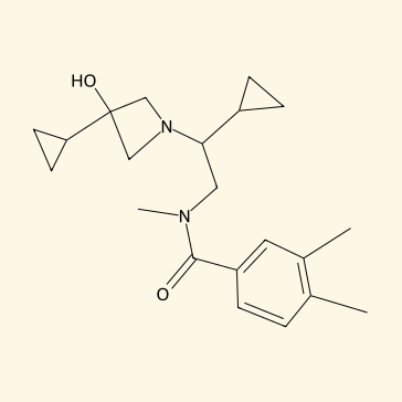 Cc1ccc(C(=O)N(C)CC(C2CC2)N2CC(O)(C3CC3)C2)cc1C